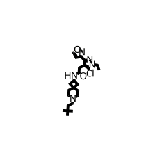 CCn1nc(-c2ccon2)c(CC(=O)NC2CC3(CCN(CCC(C)(C)C)CC3)C2)c1Cl